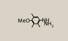 COc1c(C)cc(NN)c(C)c1C